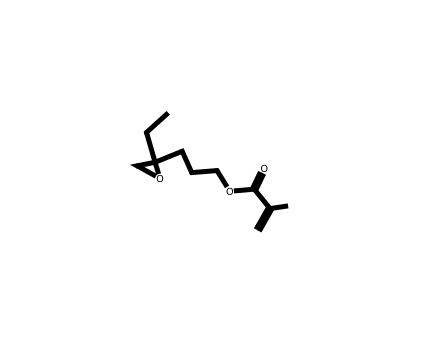 C=C(C)C(=O)OCCCC1(CC)CO1